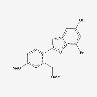 COCc1cc(OC)ccc1-c1cc2cc(O)cc(Br)c2o1